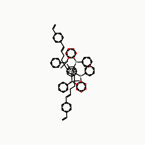 C=Cc1ccc(C=CCCC(C)(C)[C]23[CH]4[C]5(P(c6ccccc6)c6ccccc6)[C]6(P(c7ccccc7)c7ccccc7)[CH]2[Fe]43562789[CH]3[C]2(C(C)(C)CCC=Cc2ccc(C=C)cc2)[CH]7[C]8(P(c2ccccc2)c2ccccc2)[C]39P(c2ccccc2)c2ccccc2)cc1